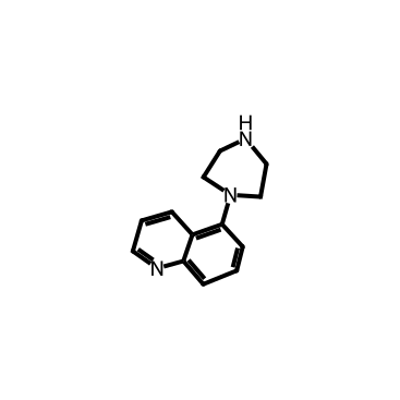 c1cc(N2CCNCC2)c2cccnc2c1